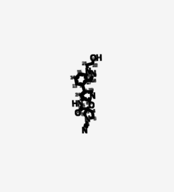 N#CN1CCC2(C1)Oc1ncc(-c3cccc4c3cnn4CCO)cc1NC2=O